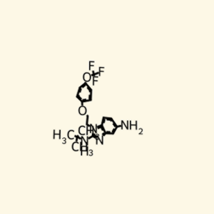 CC(C)(C)Nc1nc2cc(N)ccc2n1CCOc1ccc(OC(F)(F)F)cc1